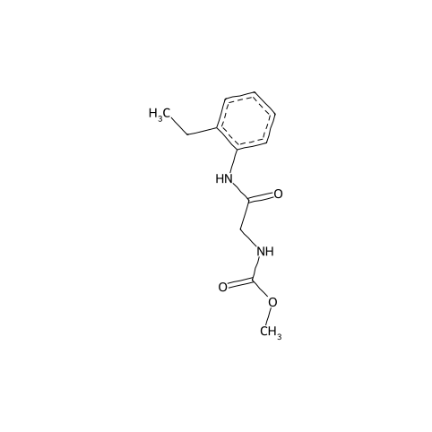 CCc1ccccc1NC(=O)CNC(=O)OC